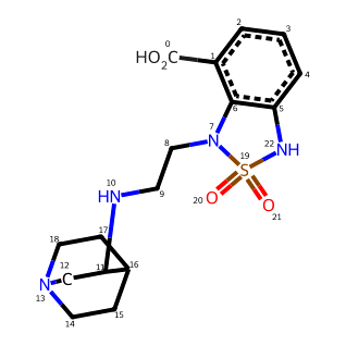 O=C(O)c1cccc2c1N(CCNC1CN3CCC1CC3)S(=O)(=O)N2